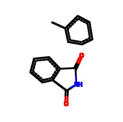 Cc1ccccc1.O=C1NC(=O)c2ccccc21